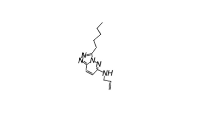 C=CCNc1ccc2nnc(CCCCC)n2n1